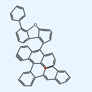 c1ccc2c(-c3cccc4oc5c(-c6ccccc6)cccc5c34)c3ccccc3c(-c3ccccc3C3=Cc4ccccc4CC3)c2c#1